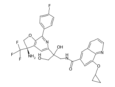 N[C@@]1(C(F)(F)F)COc2c1cc(C(O)(CO)CNC(=O)c1cc(OC3CC3)c3ncccc3c1)nc2-c1ccc(F)cc1